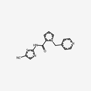 N#Cc1cnc(NC(=O)c2cccn2Cc2ccncc2)s1